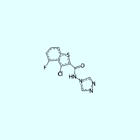 O=C(Nn1cnnc1)c1sc2cccc(F)c2c1Cl